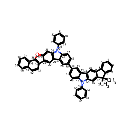 CC1(C)c2ccccc2-c2cc3c4cc(-c5ccc6c(c5)c5cc7c(cc5n6-c5ccccc5)oc5c6ccccc6ccc75)ccc4n(-c4ccccc4)c3cc21